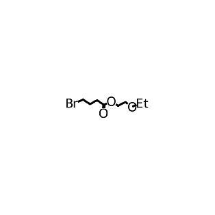 CCOCCOC(=O)CCCBr